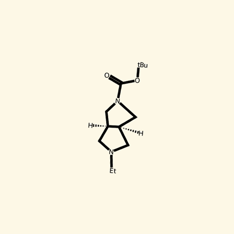 CCN1C[C@@H]2CN(C(=O)OC(C)(C)C)C[C@@H]2C1